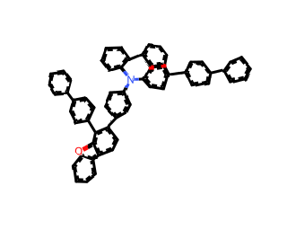 c1ccc(-c2ccc(-c3ccc(N(c4ccc(-c5ccc6c(oc7ccccc76)c5-c5ccc(-c6ccccc6)cc5)cc4)c4ccccc4-c4ccccc4)cc3)cc2)cc1